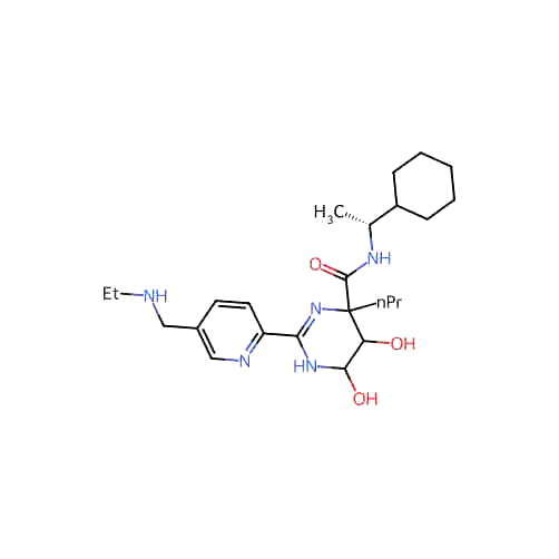 CCCC1(C(=O)N[C@H](C)C2CCCCC2)N=C(c2ccc(CNCC)cn2)NC(O)C1O